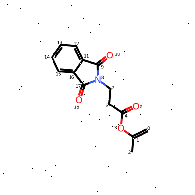 C=C(C)OC(=O)CCN1C(=O)c2ccccc2C1=O